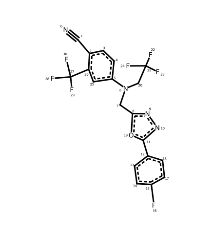 N#Cc1ccc(N(Cc2nnc(-c3ccc(F)cc3)o2)CC(F)(F)F)cc1C(F)(F)F